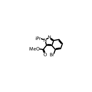 COC(=O)c1c2c(Br)cccc2nn1C(C)C